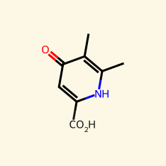 Cc1[nH]c(C(=O)O)cc(=O)c1C